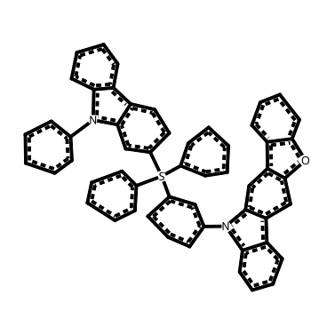 c1ccc(-n2c3ccccc3c3ccc(S(c4ccccc4)(c4ccccc4)c4cccc(-n5c6ccccc6c6cc7oc8ccccc8c7cc65)c4)cc32)cc1